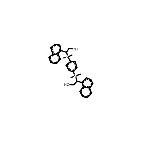 C[Si](C)(c1ccc([Si](C)(C)C(CO)c2cccc3ccccc23)cc1)C(CO)c1cccc2ccccc12